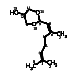 CC(C)=CCCC(C)=CC1OCC(O)CO1